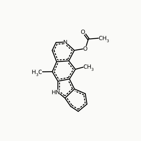 CC(=O)Oc1nccc2c(C)c3[nH]c4ccccc4c3c(C)c12